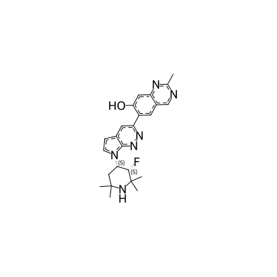 Cc1ncc2cc(-c3cc4ccn([C@H]5CC(C)(C)NC(C)(C)[C@H]5F)c4nn3)c(O)cc2n1